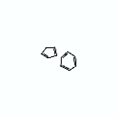 C1=CCC=C1.c1ccccc1